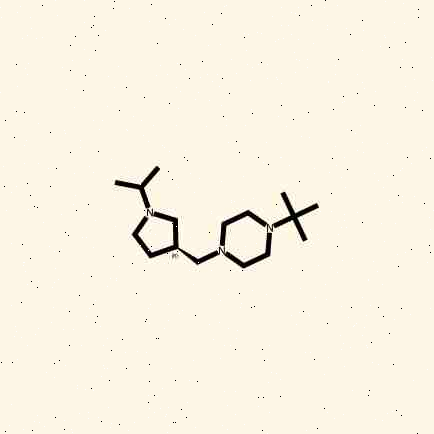 CC(C)N1CC[C@H](CN2CCN(C(C)(C)C)CC2)C1